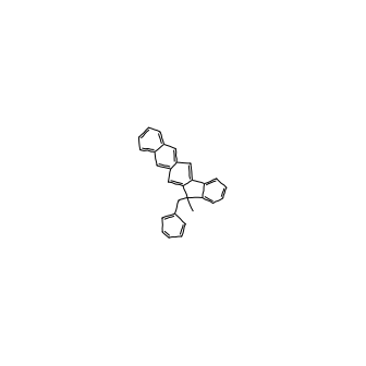 CC1(Cc2ccccc2)c2ccccc2-c2cc3cc4ccccc4cc3cc21